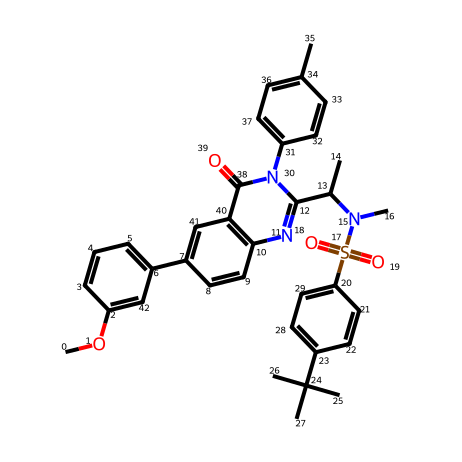 COc1cccc(-c2ccc3nc(C(C)N(C)S(=O)(=O)c4ccc(C(C)(C)C)cc4)n(-c4ccc(C)cc4)c(=O)c3c2)c1